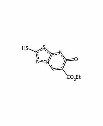 CCOC(=O)c1cn2nc(S)sc2nc1=O